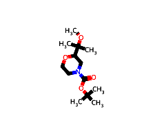 COC(C)(C)C1CN(C(=O)OC(C)(C)C)CCO1